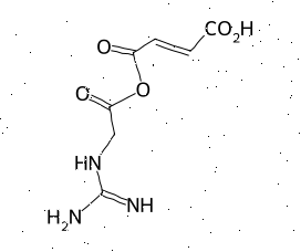 N=C(N)NCC(=O)OC(=O)/C=C/C(=O)O